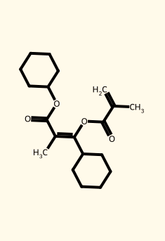 C=C(C)C(=O)OC(=C(C)C(=O)OC1CCCCC1)C1CCCCC1